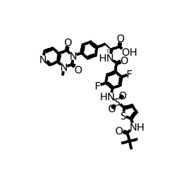 Cn1c(=O)n(-c2ccc(C[C@H](NC(=O)c3cc(F)c(NS(=O)(=O)c4ccc(NC(=O)C(C)(C)C)s4)cc3F)C(=O)O)cc2)c(=O)c2ccncc21